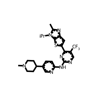 Cc1nc2cc(-c3nc(Nc4ccc(C5CCN(C)CC5)cn4)ncc3C(F)(F)F)sc2n1C(C)C